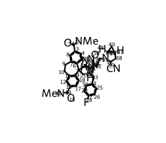 CNC(=O)c1ccc2c(c1)CCc1cc(C(=O)NC)ccc1C2(C[C@H](Cc1ccc(F)cc1)NCC(=O)N1C(C#N)C[C@@H]2C[C@@H]21)c1nnn[nH]1